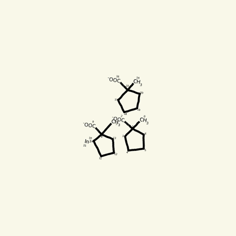 CC1(C(=O)[O-])CCCC1.CC1(C(=O)[O-])CCCC1.CC1(C(=O)[O-])CCCC1.[In+3]